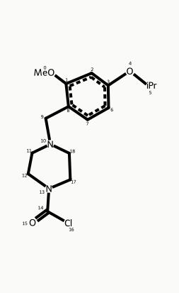 COc1cc(OC(C)C)ccc1CN1CCN(C(=O)Cl)CC1